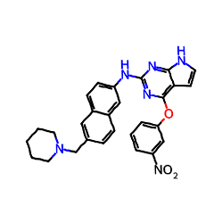 O=[N+]([O-])c1cccc(Oc2nc(Nc3ccc4cc(CN5CCCCC5)ccc4c3)nc3[nH]ccc23)c1